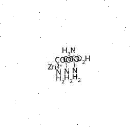 N.NC(=O)O.NC(=O)[O-].NC(=O)[O-].[Zn+2]